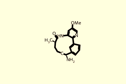 COc1cnc2c(c1)NC(=O)[C@H](C)CCC[C@H](N)c1cccc-2c1